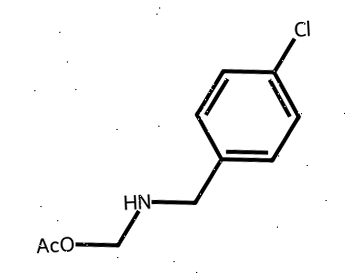 CC(=O)OCNCc1ccc(Cl)cc1